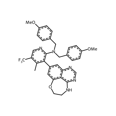 COc1ccc(CN(Cc2ccc(OC)cc2)c2ncc(C(F)(F)F)c(C)c2-c2cc3c4c(ncnc4c2)NCCO3)cc1